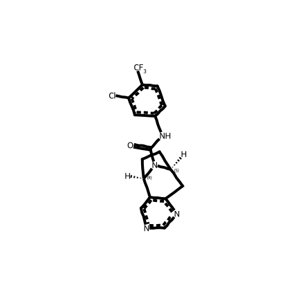 O=C(Nc1ccc(C(F)(F)F)c(Cl)c1)N1[C@H]2CC[C@@H]1c1cncnc1C2